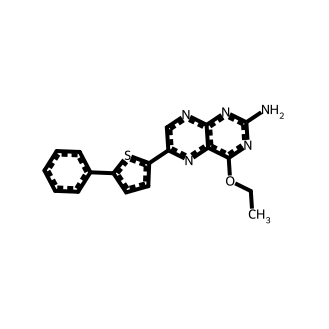 CCOc1nc(N)nc2ncc(-c3ccc(-c4ccccc4)s3)nc12